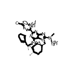 CCCN(C)c1nc2nc(-c3nc(=O)o[nH]3)nc(N[C@H](C)C3CCC3)c2n1C[C@H]1CC[C@H](C)CC1